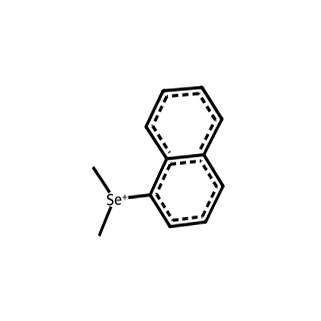 C[Se+](C)c1cccc2ccccc12